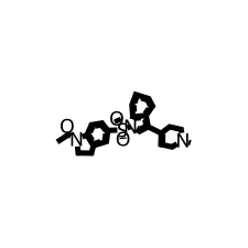 CC(=O)N1CCc2cc(S(=O)(=O)n3cc(C4=CCN(C)CC4)c4ccccc43)ccc21